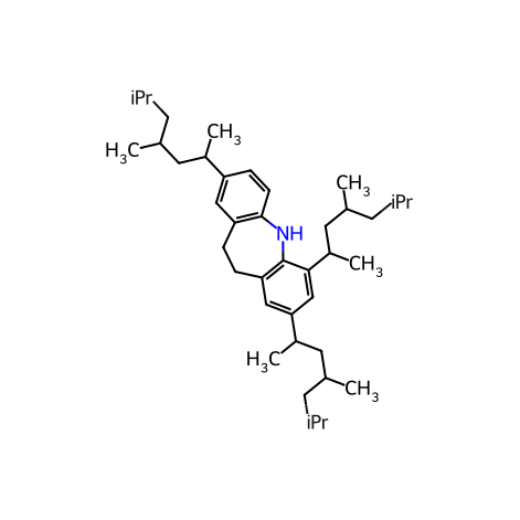 CC(C)CC(C)CC(C)c1ccc2c(c1)CCc1cc(C(C)CC(C)CC(C)C)cc(C(C)CC(C)CC(C)C)c1N2